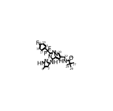 Cc1cc(Nc2nc(C(F)(F)c3ccc(F)cc3)nn3cc(CNC(=O)C(C)(C)C)cc23)n[nH]1